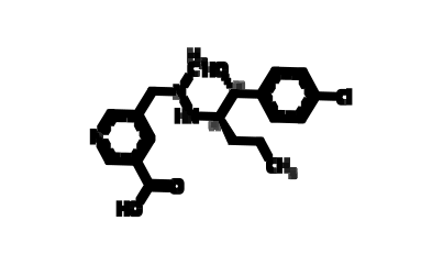 CCC[C@@H](NN(C)Cc1cncc(C(=O)O)c1)[C@H](O)c1ccc(Cl)cc1